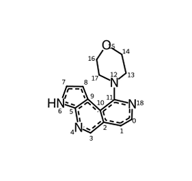 c1cc2cnc3[nH]ccc3c2c(N2CCOCC2)n1